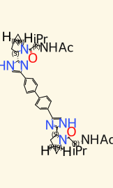 CC(=O)N[C@@H](C(=O)N1[C@@H]2C[C@@H]2C[C@H]1c1nc(-c2ccc(-c3ccc(-c4c[nH]c([C@@H]5C[C@H]6C[C@H]6N5C(=O)[C@H](NC(C)=O)C(C)C)n4)cc3)cc2)c[nH]1)C(C)C